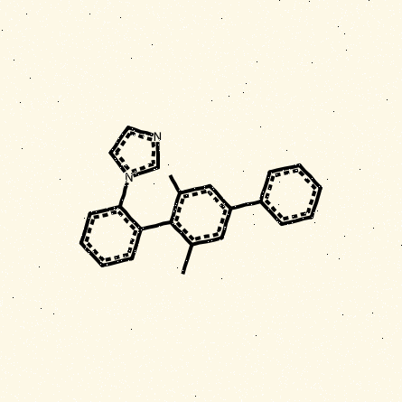 Cc1cc(-c2ccccc2)cc(C)c1-c1ccccc1-n1ccnc1